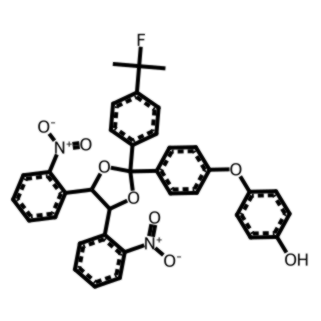 CC(C)(F)c1ccc(C2(c3ccc(Oc4ccc(O)cc4)cc3)OC(c3ccccc3[N+](=O)[O-])C(c3ccccc3[N+](=O)[O-])O2)cc1